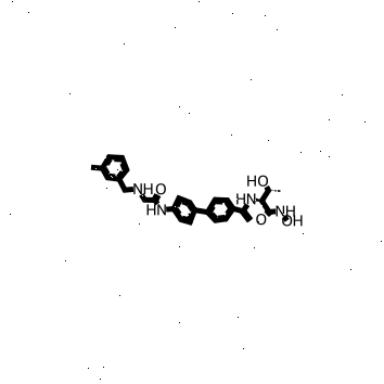 C=C(N[C@H](C(=O)NO)[C@@H](C)O)c1ccc(-c2ccc(NC(=O)CNCc3cccc(C)c3)cc2)cc1